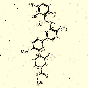 COc1ccc(-c2cnc(N)c(O[C@H](C)c3c(Cl)ccc(F)c3Cl)c2)nc1N1CCN(C(=O)OC(C)(C)C)CC1C